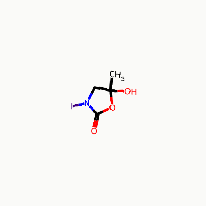 CC1(O)CN(I)C(=O)O1